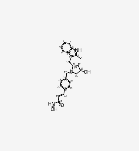 Cc1[nH]c2ccccc2c1C[C@H]1C[C@@H](O)CN1Cc1ccc(C=CC(=O)NO)cc1